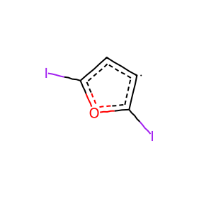 Ic1[c]cc(I)o1